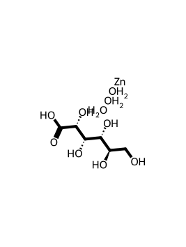 O.O.O.O=C(O)[C@H](O)[C@@H](O)[C@H](O)[C@H](O)CO.[Zn]